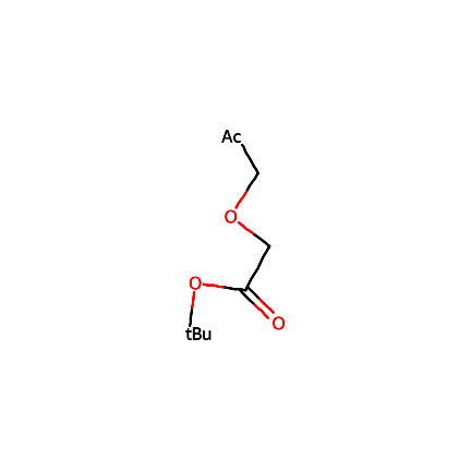 CC(=O)COCC(=O)OC(C)(C)C